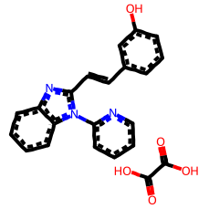 O=C(O)C(=O)O.Oc1cccc(C=Cc2nc3ccccc3n2-c2ccccn2)c1